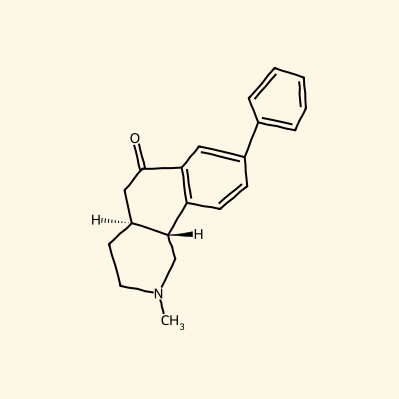 CN1CC[C@H]2CC(=O)c3cc(-c4ccccc4)ccc3[C@@H]2C1